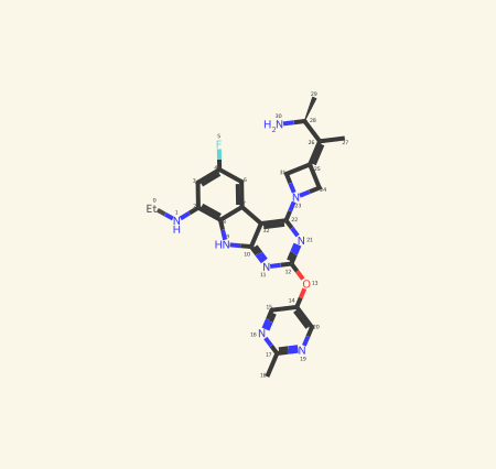 CCNc1cc(F)cc2c1[nH]c1nc(Oc3cnc(C)nc3)nc(N3CC(=C(C)[C@H](C)N)C3)c12